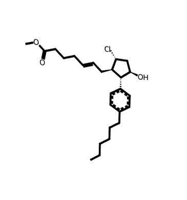 CCCCCCc1ccc([C@@H]2[C@@H](CC=CCCCC(=O)OC)[C@H](Cl)C[C@H]2O)cc1